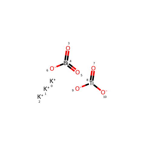 [K+].[K+].[K+].[O]=[Bi](=[O])[O-].[O]=[Ti]([O-])[O-]